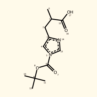 CC(Cc1cn(C(=O)OC(C)(C)C)cn1)C(=O)O